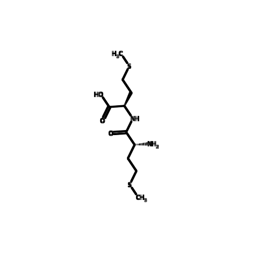 CSCC[C@@H](N)C(=O)N[C@H](CCSC)C(=O)O